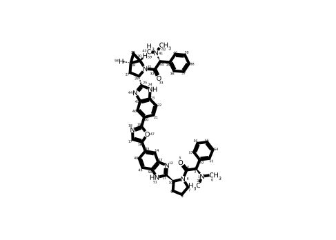 CN(C)[C@@H](C(=O)N1CCC[C@H]1c1nc2cc(-c3cnc(-c4ccc5[nH]c([C@@H]6C[C@H]7C[C@@H]7N6C(=O)[C@@H](c6ccccc6)N(C)C)nc5c4)o3)ccc2[nH]1)c1ccccc1